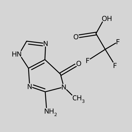 Cn1c(N)nc2[nH]cnc2c1=O.O=C(O)C(F)(F)F